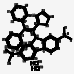 CN(C)c1ccc2c(c1)[CH]([Zr]([C]1=CC=CC1)=[C](c1ccccc1)c1ccccc1)c1cc(N(C)C)ccc1-2.Cl.Cl